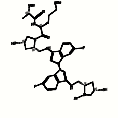 CN[C@@H](C)C(=O)N[C@@H](CCCOC)C(=O)N1C[C@@H](O)C[C@H]1CNc1cn(-n2cc(NC[C@@H]3C[C@H](O)CN3C(C)=O)c3ccc(F)cc32)c2cc(F)ccc12